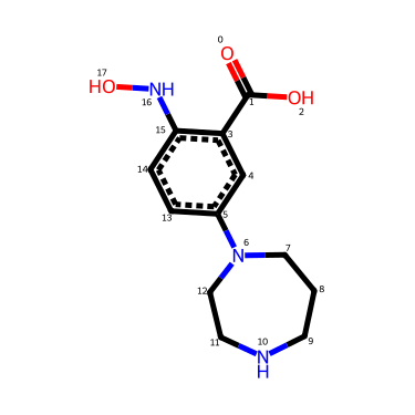 O=C(O)c1cc(N2CCCNCC2)ccc1NO